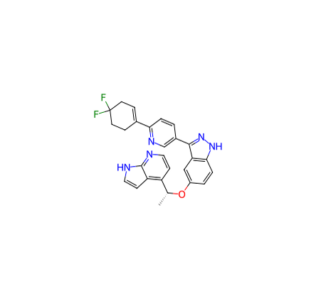 C[C@@H](Oc1ccc2[nH]nc(-c3ccc(C4=CCC(F)(F)CC4)nc3)c2c1)c1ccnc2[nH]ccc12